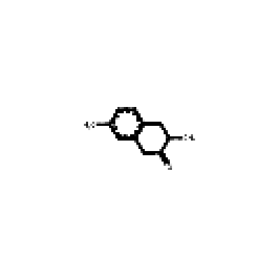 Cc1ccc2c(c1)CC(=O)C(C)C2